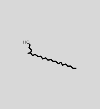 CCCCCCCCCCCCCCCCCCC(C)CCCO